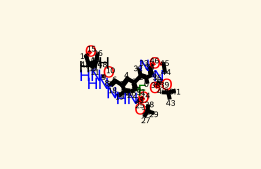 Cc1c(-c2cc3cc(NC(=O)NC4[C@H]5COC[C@@H]45)ncc3c(NC(=O)OC(C)(C)C)c2F)cnc2c1N(C(=O)OC(C)(C)C)CCO2